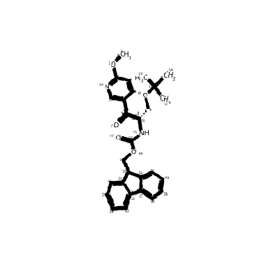 COc1ccc(C(=O)[C@H](COC(C)(C)C)NC(=O)OCC2c3ccccc3-c3ccccc32)cn1